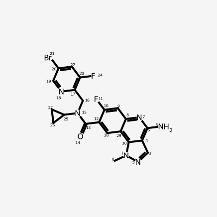 Cn1ncc2c(N)nc3cc(F)c(C(=O)N(Cc4ncc(Br)cc4F)C4CC4)cc3c21